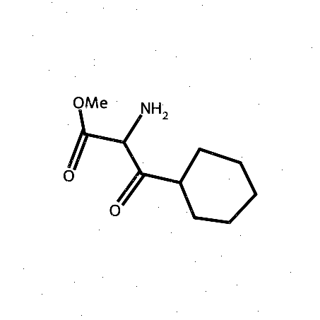 COC(=O)C(N)C(=O)C1CCCCC1